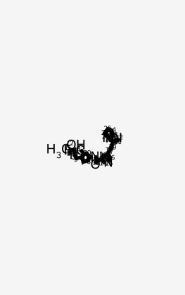 CC1(O)CN(Cc2ccc(NC(=O)c3cncc(C#Cc4cnc5cccnn45)c3)cc2C(F)(F)F)C1